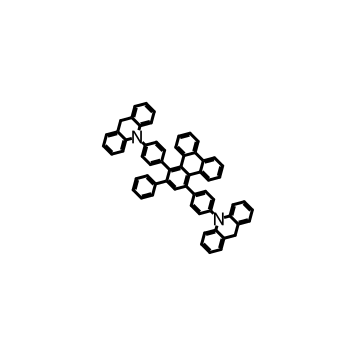 c1ccc(-c2cc(-c3ccc(N4c5ccccc5Cc5ccccc54)cc3)c3c4ccccc4c4ccccc4c3c2-c2ccc(N3c4ccccc4Cc4ccccc43)cc2)cc1